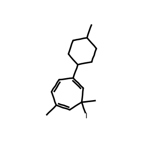 CC1=CC(C)(I)C=C(C2CCC(C)CC2)C=C1